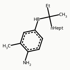 CCCCCCCC(C)(Bc1ccc(N)c(C)c1)CC